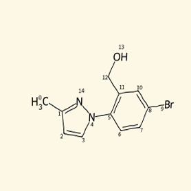 Cc1ccn(-c2ccc(Br)cc2CO)n1